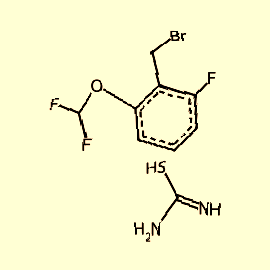 Fc1cccc(OC(F)F)c1CBr.N=C(N)S